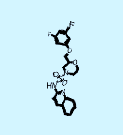 O=S(=O)(Nc1ccc2ccccc2n1)N1CCOC(COc2cc(F)cc(F)c2)C1